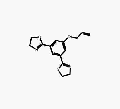 C=CCOc1cc(C2=NCCO2)cc(C2=NCCO2)c1